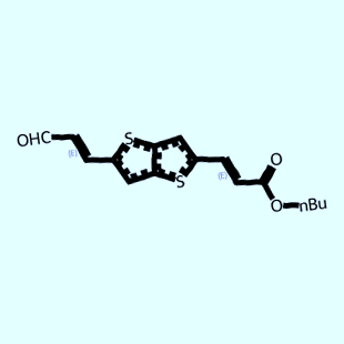 CCCCOC(=O)/C=C/c1cc2sc(/C=C/C=O)cc2s1